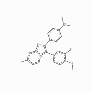 CSc1ccc(-c2c(-c3ccc([S+](C)[O-])cc3)nc3nc(C)ccn23)cc1F